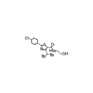 O=C(NCCO)c1sc(-c2ccc(Cl)cc2)nc1C(Br)Br